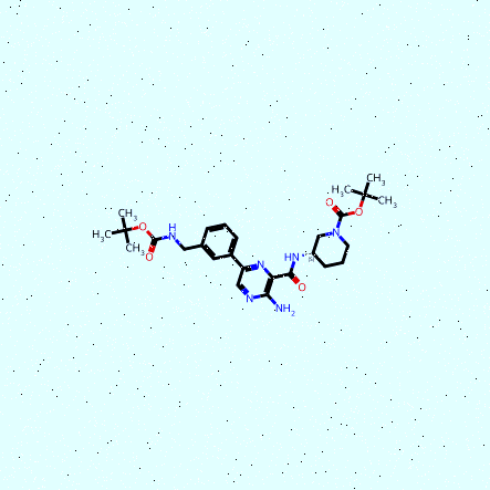 CC(C)(C)OC(=O)NCc1cccc(-c2cnc(N)c(C(=O)N[C@H]3CCCN(C(=O)OC(C)(C)C)C3)n2)c1